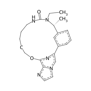 CCN1C(=O)NCCCCCOc2nc(cn3ccnc23)-c2cccc(c2)[C@H]1C